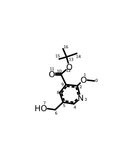 COc1ncc(CO)cc1C(=O)OC(C)(C)C